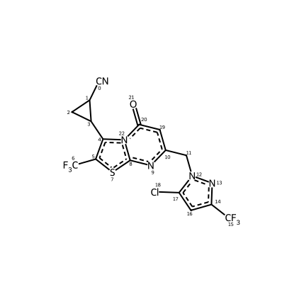 N#CC1CC1c1c(C(F)(F)F)sc2nc(Cn3nc(C(F)(F)F)cc3Cl)cc(=O)n12